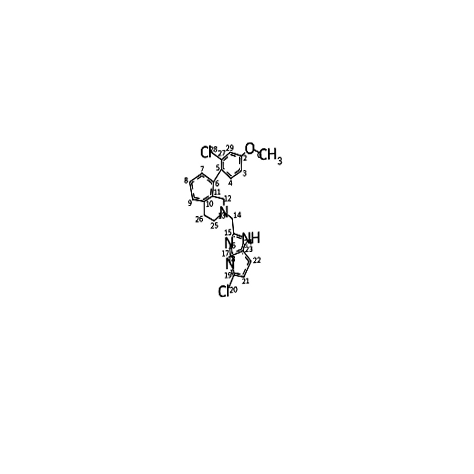 COc1ccc(-c2cccc3c2CN(Cc2nc4nc(Cl)ccc4[nH]2)CC3)c(Cl)c1